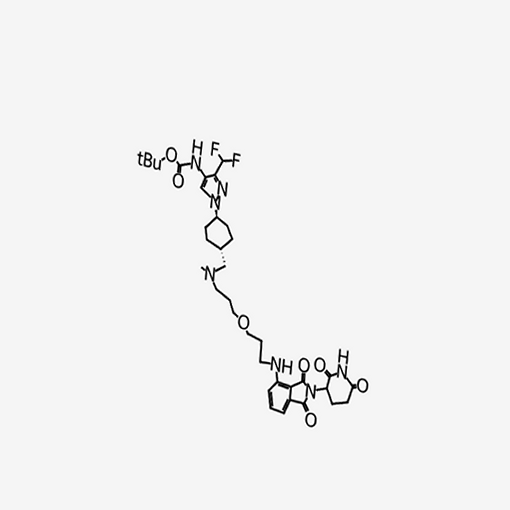 CN(CCCOCCCNc1cccc2c1C(=O)N(C1CCC(=O)NC1=O)C2=O)C[C@H]1CC[C@H](n2cc(NC(=O)OC(C)(C)C)c(C(F)F)n2)CC1